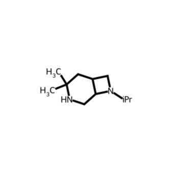 CC(C)N1CC2CC(C)(C)NCC21